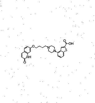 O=C(O)c1cc2c(N3CCN(CCCCOc4ccc5ccc(=O)[nH]c5c4)CC3)cccc2s1